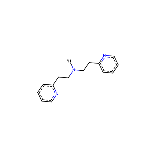 [2H]N(CCc1ccccn1)CCc1ccccn1